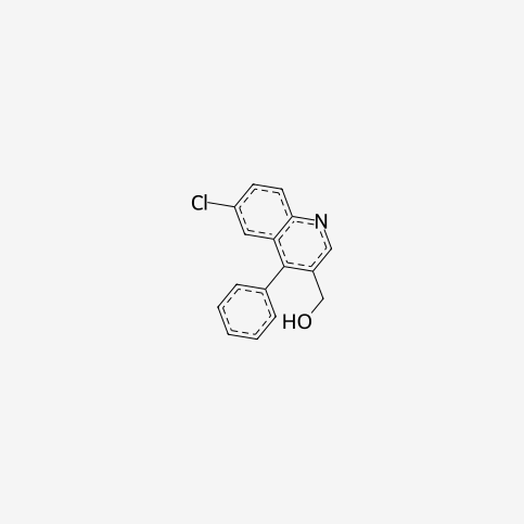 OCc1cnc2ccc(Cl)cc2c1-c1ccccc1